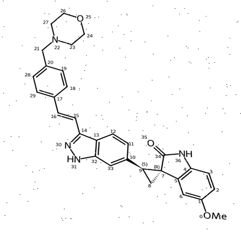 COc1ccc2c(c1)[C@]1(C[C@H]1c1ccc3c(C=Cc4ccc(CN5CCOCC5)cc4)n[nH]c3c1)C(=O)N2